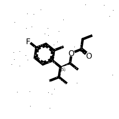 CCC(=O)OC(C)[C@H](c1ccc(F)cc1C)C(C)C